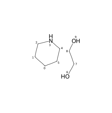 C1CCNCC1.OCCO